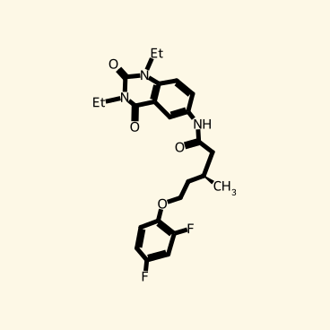 CCn1c(=O)c2cc(NC(=O)C[C@@H](C)CCOc3ccc(F)cc3F)ccc2n(CC)c1=O